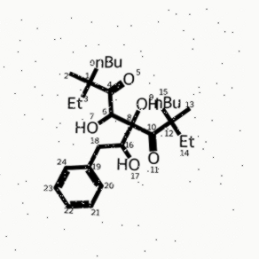 CCCCC(C)(CC)C(=O)C(O)C(O)(C(=O)C(C)(CC)CCCC)C(O)Cc1ccccc1